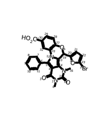 Cn1c(=O)c2c(-c3ccccc3)n3c(c2n(C)c1=O)C(c1ccc(Br)o1)Oc1ccc(C(=O)O)cc1-3